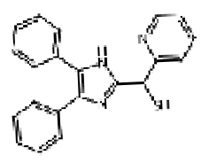 SC(c1ccccn1)c1nc(-c2ccccc2)c(-c2ccccc2)[nH]1